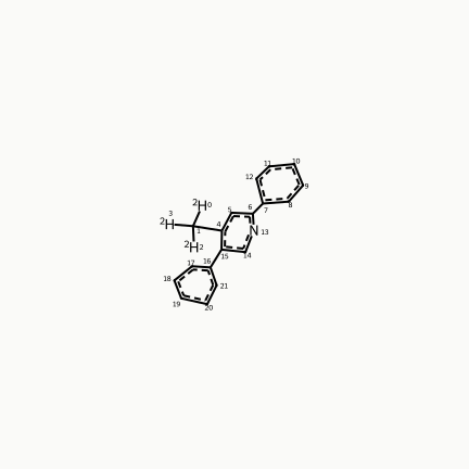 [2H]C([2H])([2H])c1cc(-c2ccccc2)ncc1-c1ccccc1